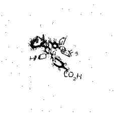 Cl.O=C(O)CC1CCN(CC(=O)N2CCc3c(n(Cc4ccc(OC(F)(F)F)c(Cl)c4)c4ncccc34)C2)CC1